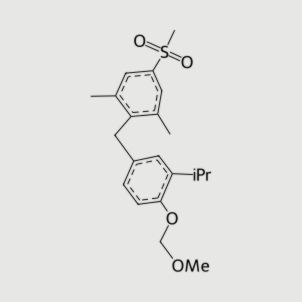 COCOc1ccc(Cc2c(C)cc(S(C)(=O)=O)cc2C)cc1C(C)C